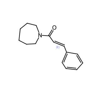 O=C(/C=C/c1ccccc1)N1CCCCCC1